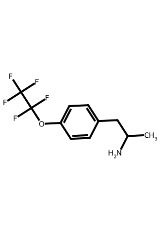 CC(N)Cc1ccc(OC(F)(F)C(F)(F)F)cc1